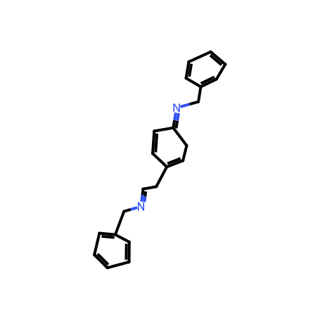 C1=CC(=NCc2ccccc2)CC=C1CC=NCc1ccccc1